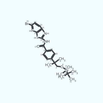 CC(C)(CO[Si](C)(C)C(C)(C)C)c1ccc(C(=O)Nc2nc3ccc(Br)nc3s2)cc1